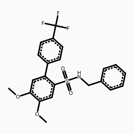 COc1cc(-c2ccc(C(F)(F)F)cc2)c(S(=O)(=O)NCc2ccccc2)cc1OC